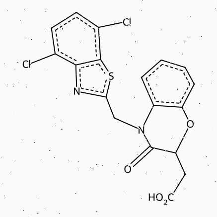 O=C(O)CC1Oc2ccccc2N(Cc2nc3c(Cl)ccc(Cl)c3s2)C1=O